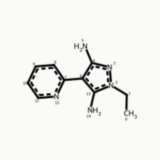 CCn1nc(N)c(-c2ccccn2)c1N